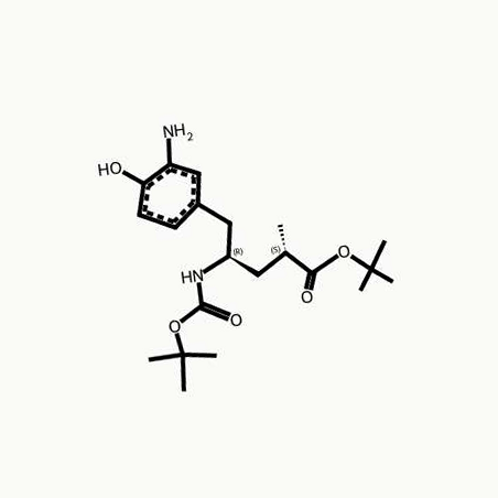 C[C@@H](C[C@H](Cc1ccc(O)c(N)c1)NC(=O)OC(C)(C)C)C(=O)OC(C)(C)C